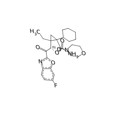 CCC1([C@H](OC(N)=O)C(=O)c2nc3ccc(F)cc3o2)CC1(C(=O)N1CCOCC1)C1CCCCC1